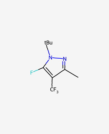 Cc1nn(C(C)(C)C)c(F)c1C(F)(F)F